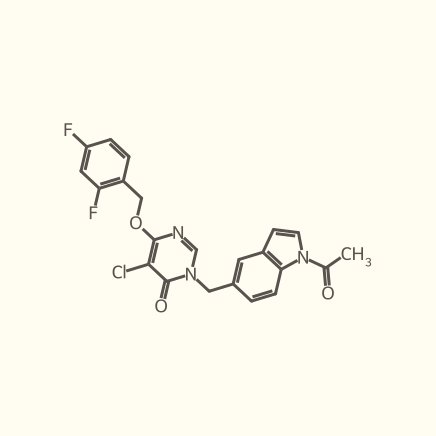 CC(=O)n1ccc2cc(Cn3cnc(OCc4ccc(F)cc4F)c(Cl)c3=O)ccc21